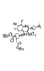 CN(C)C1CN(c2nc3c(F)c(Br)c(I)cc3c(N[C@@H]3CCN(C(=O)OC(C)(C)C)[C@H](CC(=O)OC(C)(C)C)C3)c2[N+](=O)[O-])C1